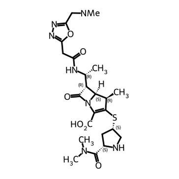 CNCc1nnc(CC(=O)N[C@H](C)[C@H]2C(=O)N3C(C(=O)O)=C(S[C@@H]4CN[C@H](C(=O)N(C)C)C4)[C@H](C)[C@H]23)o1